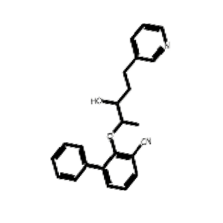 CC(Oc1c(C#N)cccc1-c1ccccc1)C(O)CCc1cccnc1